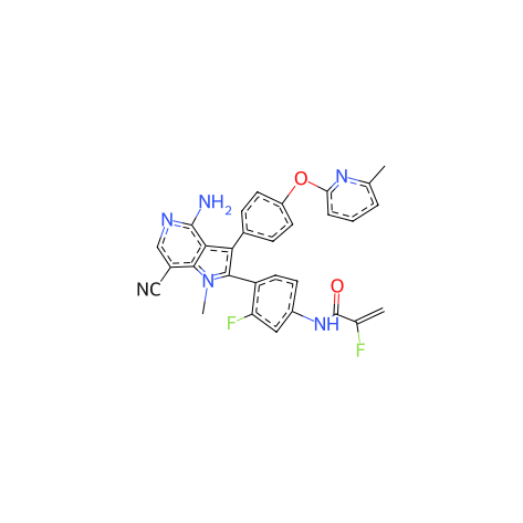 C=C(F)C(=O)Nc1ccc(-c2c(-c3ccc(Oc4cccc(C)n4)cc3)c3c(N)ncc(C#N)c3n2C)c(F)c1